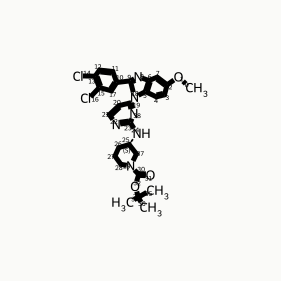 COc1ccc2c(c1)nc(-c1ccc(Cl)c(Cl)c1)n2-c1ccnc(N[C@H]2CCCN(C(=O)OC(C)(C)C)C2)n1